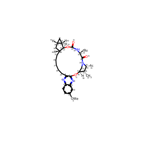 COc1ccc2nc3c(nc2c1)O[C@H]1CN(C(=O)[C@H](C(C)(C)C)NC(=O)O[C@H]2[C@H](CCCCC3)C[C@@H]3C[C@@H]32)[C@H](C(C)=O)[C@@H]1C